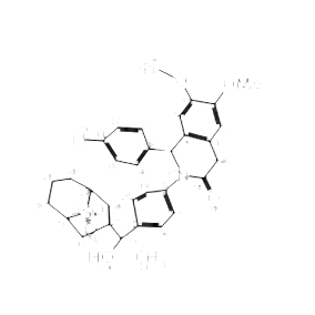 COc1cc2c(cc1OC(C)C)[C@H](c1ccc(Cl)cc1)N(c1ccc([C@@](C)(O)C3CC4CCCC(C3)S4(=O)=O)cc1)C(=O)C2